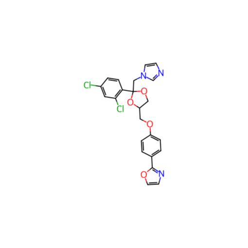 Clc1ccc(C2(Cn3ccnc3)OCC(COc3ccc(-c4ncco4)cc3)O2)c(Cl)c1